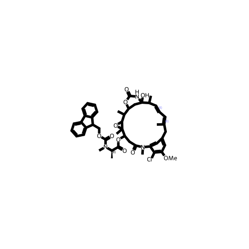 COc1cc2cc(c1Cl)N(C)C(=O)CC(OC(=O)[C@@H](C)N(C)C(=O)OCC1c3ccccc3-c3ccccc31)C1(C)OC1C(C)C1CC(O)(NC(=O)O1)C(C)/C=C/C=C(\C)C2